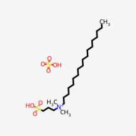 CCCCCCCCCCCCCCCCCC[N+](C)(C)CCCS(=O)(=O)O.O=S(=O)([O-])O